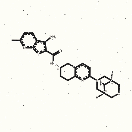 Cc1ccc2c(N)c(C(=O)N[C@H]3CCc4nc(N5C[C@H]6COC[C@@H](C5)C6N)ccc4C3)sc2n1